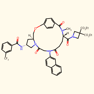 CCOC(=O)C1(C(=O)OCC)CN(C(=O)[C@@H]2CCC(=O)N(c3ccc4ccccc4c3)CC(=O)N3C[C@H](NC(=O)c4cccc(C(F)(F)F)c4)C[C@H]3COc3ccc(cc3)C(=O)N2C)C1